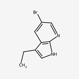 C[CH]c1c[nH]c2ncc(Br)cc12